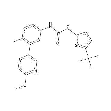 COc1ccc(-c2cc(NC(=O)Nc3ccc(C(C)(C)C)s3)ccc2C)cn1